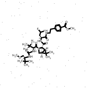 COC[C@@H](NC(=O)N[C@H](C(=O)N1C[C@H]2[C@@H]([C@H]1C(=O)N[C@@H](CC(F)F)C(=O)NCCc1ccc(C(=O)OC)cc1)C2(C)C)C(C)(C)C)C(C)(C)C